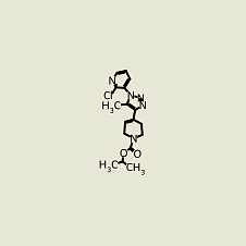 Cc1c(C2=CCN(C(=O)OC(C)C)CC2)nnn1-c1cccnc1Cl